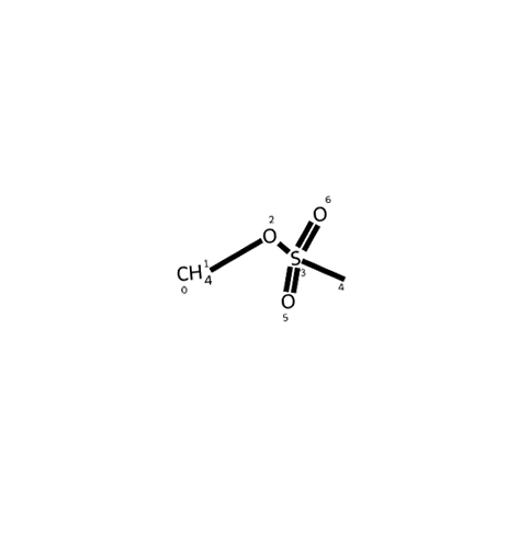 C.COS(C)(=O)=O